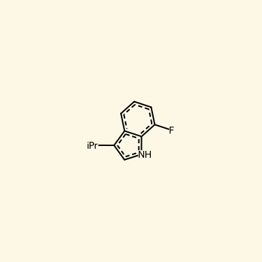 CC(C)c1c[nH]c2c(F)cccc12